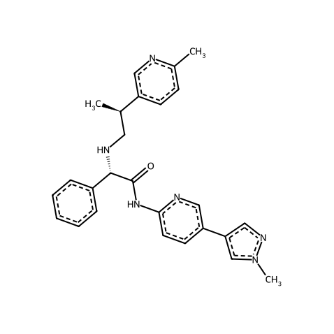 Cc1ccc([C@H](C)CN[C@H](C(=O)Nc2ccc(-c3cnn(C)c3)cn2)c2ccccc2)cn1